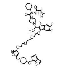 CN[C@@H](C)C(=O)N[C@H](C(=O)N1CCN(C(O)c2c(OCCOCCOCCOc3cc(CN4CCC(Oc5ccnc6ccsc56)CC4)on3)c3cc(F)c(F)cc3n2C)CC1)C1CCCCC1